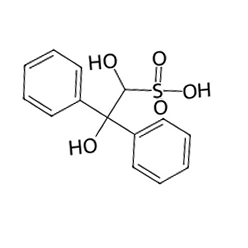 O=S(=O)(O)C(O)C(O)(c1ccccc1)c1ccccc1